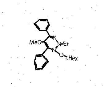 CCCCCCON1C(c2ccccc2)=C(OC)C(c2ccccc2)=NN1CC